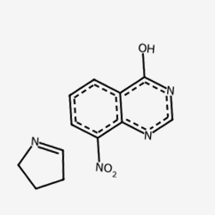 C1=NCCC1.O=[N+]([O-])c1cccc2c(O)ncnc12